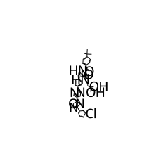 CC(C)(C)c1ccc(C(=O)N[C@@H](Cc2ccc(-c3ncc(-c4nc(-c5cccc(Cl)c5)no4)cn3)cc2)C(=O)NCCC(O)O)cc1